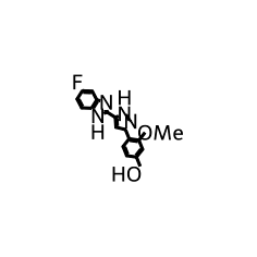 COc1cc(CO)ccc1-c1cc(-c2nc3cc(F)ccc3[nH]2)[nH]n1